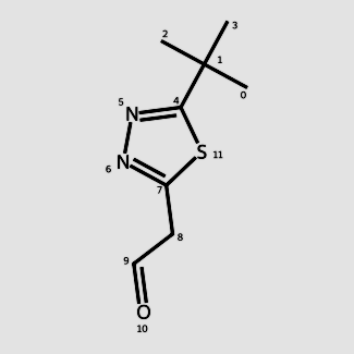 CC(C)(C)c1nnc(CC=O)s1